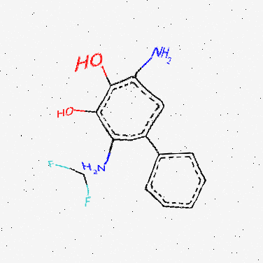 FCF.Nc1cc(-c2ccccc2)c(N)c(O)c1O